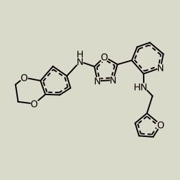 c1coc(CNc2ncccc2-c2nnc(Nc3ccc4c(c3)OCCO4)o2)c1